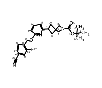 CC(C)(C)OC(=O)N1CC2(CC(c3cccc(OCc4ccc(C#N)cc4F)n3)C2)C1